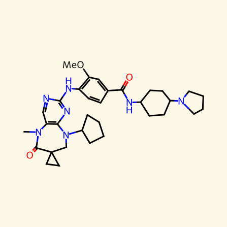 COc1cc(C(=O)NC2CCC(N3CCCC3)CC2)ccc1Nc1ncc2c(n1)N(C1CCCC1)CC1(CC1)C(=O)N2C